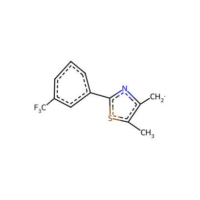 [CH2]c1nc(-c2cccc(C(F)(F)F)c2)sc1C